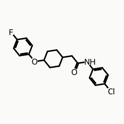 O=C(CC1CCC(Oc2ccc(F)cc2)CC1)Nc1ccc(Cl)cc1